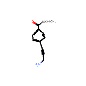 CN(O)C(=O)c1ccc(C#CCN)cc1